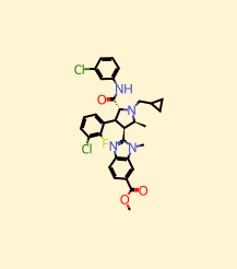 COC(=O)c1ccc2nc([C@H]3C(c4cccc(Cl)c4F)[C@H](C(=O)Nc4cccc(Cl)c4)N(CC4CC4)[C@H]3C)n(C)c2c1